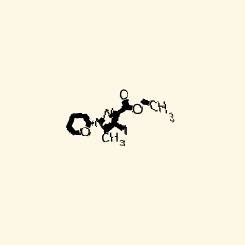 CCOC(=O)c1nn([C@H]2CCCCO2)c(C)c1I